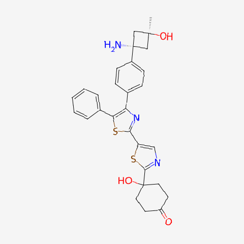 C[C@]1(O)C[C@@](N)(c2ccc(-c3nc(-c4cnc(C5(O)CCC(=O)CC5)s4)sc3-c3ccccc3)cc2)C1